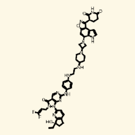 CC[C@@]1(O)CCc2ccc(-n3c4nc(Nc5ccc(NCCNC6CCN(C7CN(c8cc9onc(C%10CCC(=O)NC%10=O)c9c9cc[nH]c89)C7)CC6)cc5)ncc4c(=O)n3CC=C(F)F)nc21